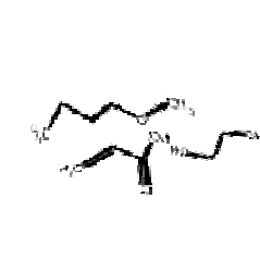 C=CC(=O)O.CCCCOC.OCCO